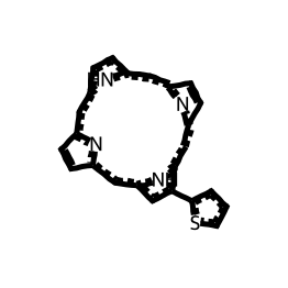 C1=Cc2cc3cc(-c4cccs4)c(cc4nc(cc5ccc(cc1n2)[nH]5)C=C4)[nH]3